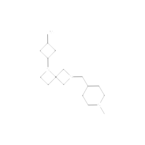 COC1CC(N2CCC23CN(CC2CCN(C)CC2)C3)C1